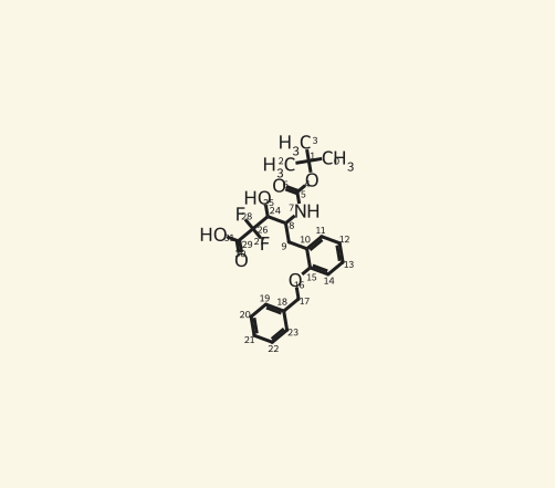 CC(C)(C)OC(=O)NC(Cc1ccccc1OCc1ccccc1)C(O)C(F)(F)C(=O)O